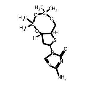 C[Si]1(C)OC[C@H]2S[C@@H](n3cnc(N)nc3=O)C[C@@H]2O[Si](C)(C)O1